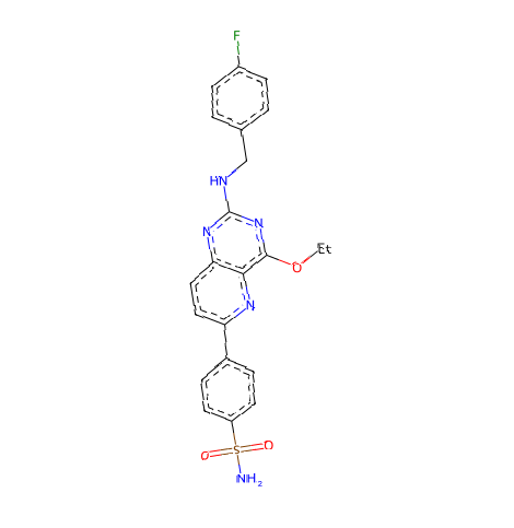 CCOc1nc(NCc2ccc(F)cc2)nc2ccc(-c3ccc(S(N)(=O)=O)cc3)nc12